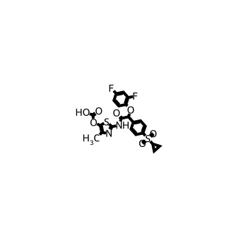 Cc1nc(NC(=O)C(Oc2ccc(F)cc2F)c2ccc(S(=O)(=O)C3CC3)cc2)sc1OC(=O)O